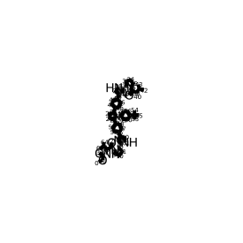 COC(=O)N[C@H](C(=O)N1CCC[C@H]1c1nc(-c2ccc(-c3ccc(-c4ccc(-c5c[nH]c([C@@H]6CCCN6C(=O)[C@@H](C)C(C)C)n5)cc4)n3-c3ccc(C(C)(C)C)cc3)cc2)c[nH]1)C(C)C